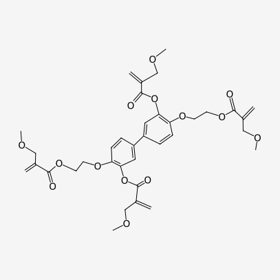 C=C(COC)C(=O)OCCOc1ccc(-c2ccc(OCCOC(=O)C(=C)COC)c(OC(=O)C(=C)COC)c2)cc1OC(=O)C(=C)COC